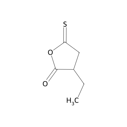 CCC1CC(=S)OC1=O